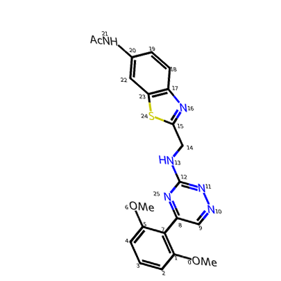 COc1cccc(OC)c1-c1cnnc(NCc2nc3ccc(NC(C)=O)cc3s2)n1